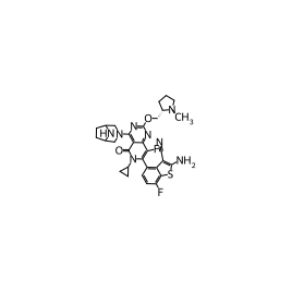 CN1CCC[C@H]1COc1nc(N2CC3CCC(C2)N3)c2c(=O)n(C3CC3)c(-c3ccc(F)c4sc(N)c(C#N)c34)c(F)c2n1